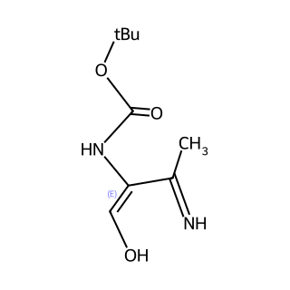 CC(=N)/C(=C\O)NC(=O)OC(C)(C)C